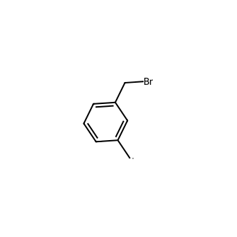 [CH2]c1cccc(CBr)c1